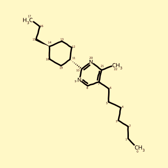 CCCCCCCc1cnc([C@H]2CC[C@H](CCC)CC2)nc1C